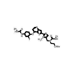 CCNC(=O)N(CCOC)Cc1cnc(-c2cc3nccc(Oc4ccc(NC(=O)NC(C)C)cc4F)c3s2)n1C